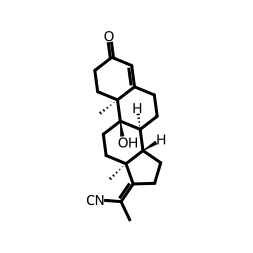 [C-]#[N+]/C(C)=C1/CC[C@H]2[C@@H]3CCC4=CC(=O)CC[C@]4(C)[C@@]3(O)CC[C@]12C